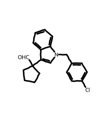 O=CC1(c2cn(Cc3ccc(Cl)cc3)c3ccccc23)CCCC1